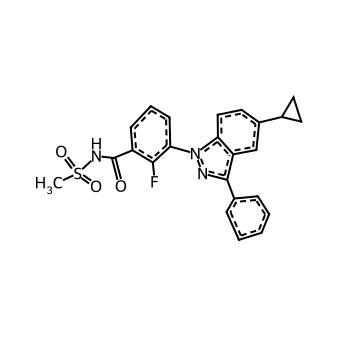 CS(=O)(=O)NC(=O)c1cccc(-n2nc(-c3ccccc3)c3cc(C4CC4)ccc32)c1F